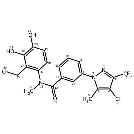 Cc1c(Cl)c(C(F)(F)F)nn1-c1cccc(C(=O)N(C)c2ccc(O)c(O)c2CCl)c1